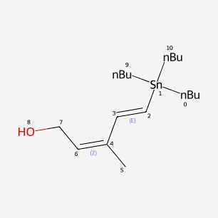 CCC[CH2][Sn](/[CH]=C/C(C)=C\CO)([CH2]CCC)[CH2]CCC